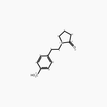 O=C(O)c1ccc(CCN2CCCC2=O)cc1